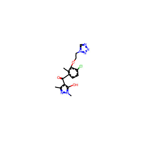 Cc1nn(C)c(O)c1C(=O)c1ccc(Cl)c(OCCn2cnnn2)c1C